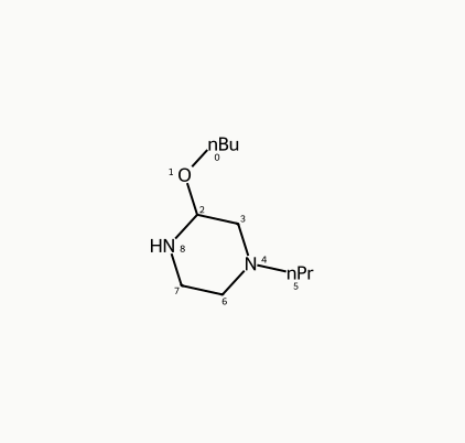 CCCCOC1CN(CCC)CCN1